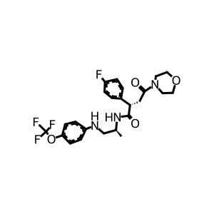 C[C@@H](CNc1ccc(OC(F)(F)F)cc1)NC(=O)[C@@H](CC(=O)N1CCOCC1)c1ccc(F)cc1